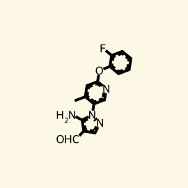 Cc1cc(Oc2ccccc2F)ncc1-n1ncc(C=O)c1N